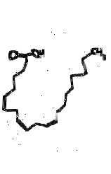 CCCCCCCC/C=C\C/C=C\C/C=C\CCCC(=O)O